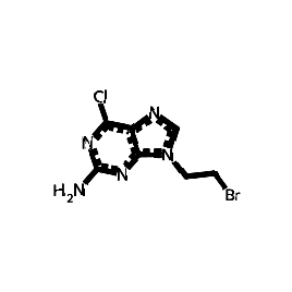 Nc1nc(Cl)c2ncn(CCBr)c2n1